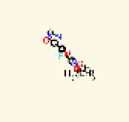 CC(C)(C)OC(=O)N1CCC(COc2ccc(C3=CCC(C(=O)N4CCC[C@H]4C#N)CC3)cc2F)CC1